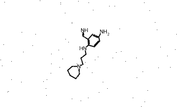 N=Cc1cc(N)ccc1NCCCN1CCCCC1